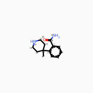 CC1(c2ccccc2C(N)=O)CCNCC1